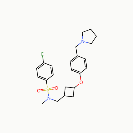 CN(CC1CC(Oc2ccc(CN3CCCC3)cc2)C1)S(=O)(=O)c1ccc(Cl)cc1